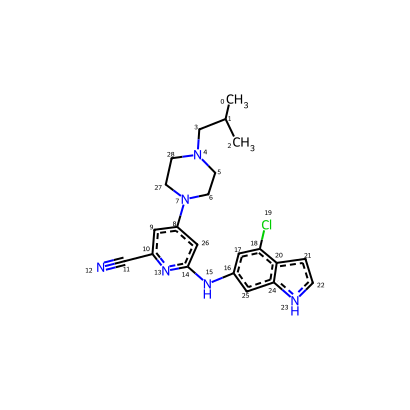 CC(C)CN1CCN(c2cc(C#N)nc(Nc3cc(Cl)c4cc[nH]c4c3)c2)CC1